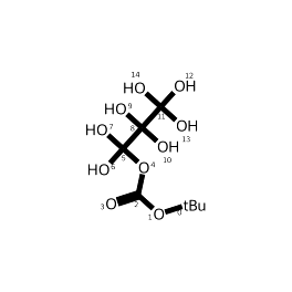 CC(C)(C)OC(=O)OC(O)(O)C(O)(O)C(O)(O)O